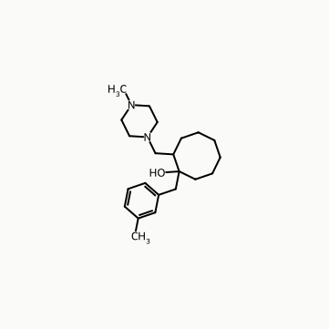 Cc1cccc(CC2(O)CCCCCCC2CN2CCN(C)CC2)c1